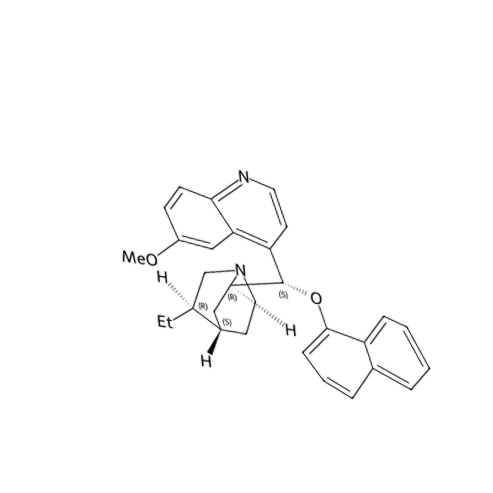 CC[C@H]1CN2CC[C@H]1C[C@@H]2[C@@H](Oc1cccc2ccccc12)c1ccnc2ccc(OC)cc12